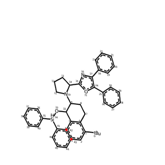 CC(C)(C)c1cccc2c1CCC(N1CCCC1c1nc(-c3ccccc3)c(-c3ccccc3)o1)C2O[SiH](c1ccccc1)c1ccccc1